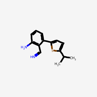 CC(C)c1ccc(-c2cccc(N)c2C=N)s1